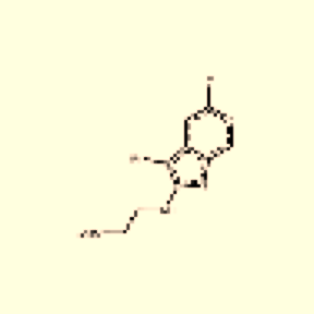 COCCNc1nc2cnc(Cl)cc2n1C(C)C